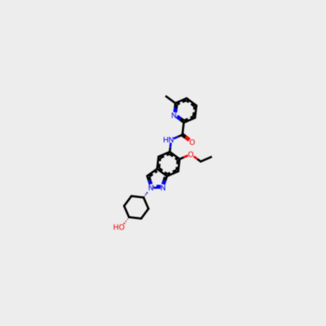 CCOc1cc2nn([C@H]3CC[C@@H](O)CC3)cc2cc1NC(=O)c1cccc(C)n1